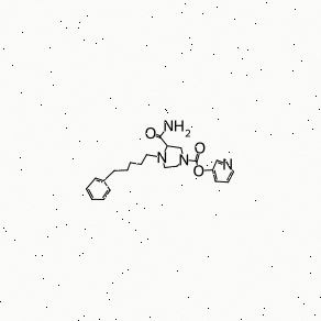 NC(=O)C1CN(C(=O)Oc2cccnc2)CCN1CCCCCc1ccccc1